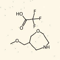 COCC1CNCCOC1.O=C(O)C(F)(F)F